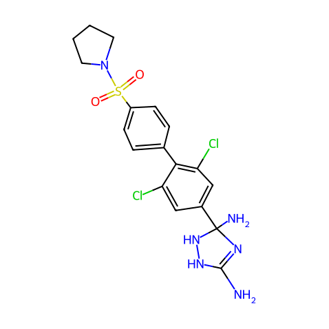 NC1=NC(N)(c2cc(Cl)c(-c3ccc(S(=O)(=O)N4CCCC4)cc3)c(Cl)c2)NN1